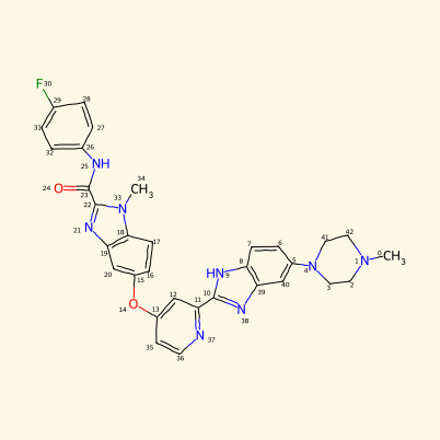 CN1CCN(c2ccc3[nH]c(-c4cc(Oc5ccc6c(c5)nc(C(=O)Nc5ccc(F)cc5)n6C)ccn4)nc3c2)CC1